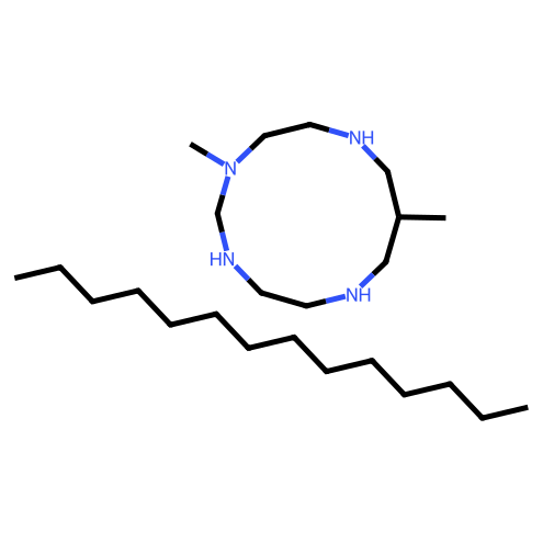 CC1CNCCNCN(C)CCNC1.CCCCCCCCCCCCCC